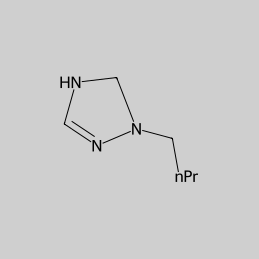 CCCCN1CNC=N1